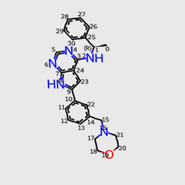 C[C@@H](Nc1ncnc2[nH]c(-c3cccc(CN4CCOCC4)c3)cc12)c1ccccc1